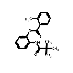 Cc1ccccc1C(=O)Sc1ccccc1NC(=O)C(C)(C)C